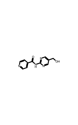 O=C(Nc1ncc(CO)cn1)c1ccncc1